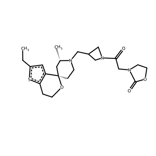 CCc1cc2c(s1)CCO[C@@]21CCN(CC2CN(C(=O)CN3CCOC3=O)C2)[C@@H](C)C1